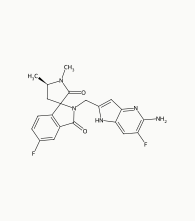 C[C@@H]1CC2(C(=O)N1C)c1ccc(F)cc1C(=O)N2Cc1cc2nc(N)c(F)cc2[nH]1